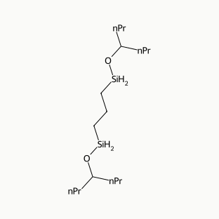 CCCC(CCC)O[SiH2]CCC[SiH2]OC(CCC)CCC